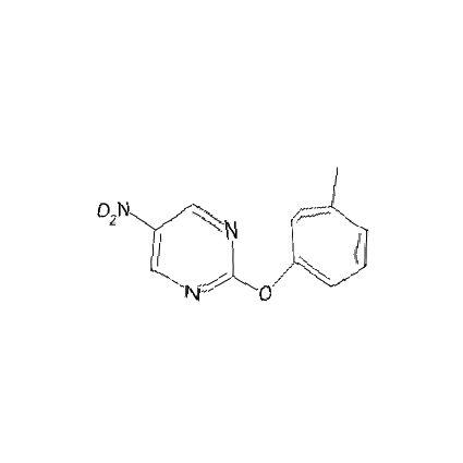 Cc1cccc(Oc2ncc([N+](=O)[O-])cn2)c1